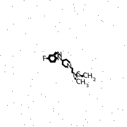 C=CSN(CC)CCN1CCC(n2ncc3cc(F)ccc32)CC1